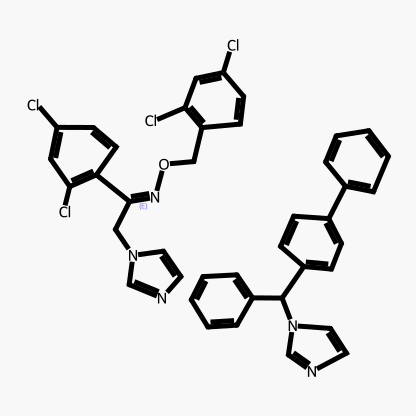 Clc1ccc(CO/N=C(/Cn2ccnc2)c2ccc(Cl)cc2Cl)c(Cl)c1.c1ccc(-c2ccc(C(c3ccccc3)n3ccnc3)cc2)cc1